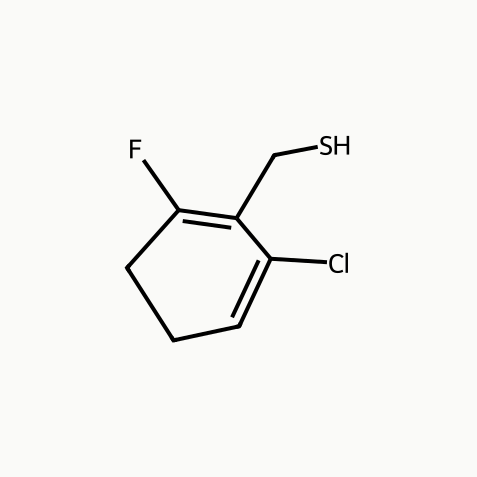 FC1=C(CS)C(Cl)=CCC1